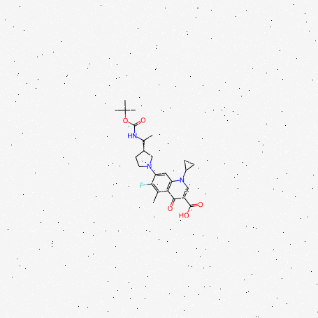 Cc1c(F)c(N2CC[C@@H](C(C)NC(=O)OC(C)(C)C)C2)cc2c1c(=O)c(C(=O)O)cn2C1CC1